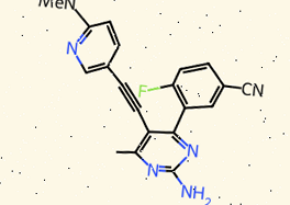 CNc1ccc(C#Cc2c(C)nc(N)nc2-c2cc(C#N)ccc2F)cn1